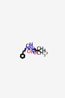 CN(C/C=C/c1ccccc1)C(=O)Nc1cc(C(C)(C)C)on1